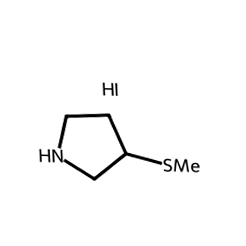 CSC1CCNC1.I